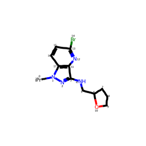 CC(C)n1nc(NCC2CCCO2)c2nc(Br)ccc21